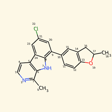 Cc1nccc2c1[nH]c1c(-c3ccc4c(c3)CC(C)O4)cc(Cl)cc12